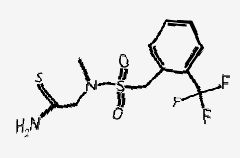 CN(CC(N)=S)S(=O)(=O)Cc1ccccc1C(F)(F)F